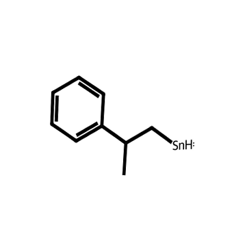 CC([CH2][SnH])c1ccccc1